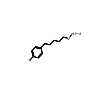 [CH2]CCCCCCOCCCCCc1ccc(Cl)cc1